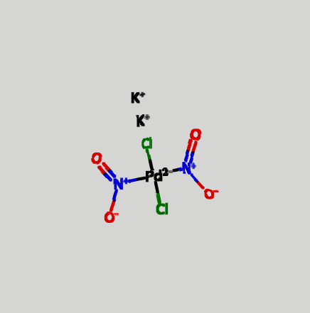 O=[N+]([O-])[Pd-2]([Cl])([Cl])[N+](=O)[O-].[K+].[K+]